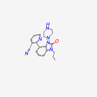 CCCn1c(=O)n(N2CCNCC2)c2c(-c3ncccc3C#N)cccc21